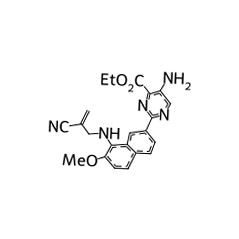 C=C(C#N)CNc1c(OC)ccc2ccc(-c3ncc(N)c(C(=O)OCC)n3)cc12